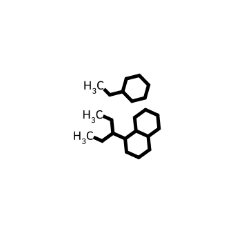 CCC(CC)C1CCCC2CCCCC21.CCC1CCCCC1